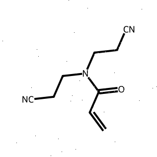 C=CC(=O)N(CCC#N)CCC#N